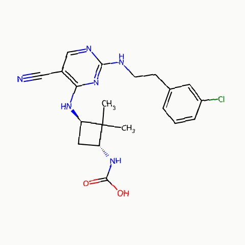 CC1(C)[C@H](NC(=O)O)C[C@H]1Nc1nc(NCCc2cccc(Cl)c2)ncc1C#N